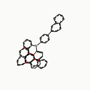 C1=CCC(c2cccc3cccc(C4CCCCC4)c23)C(N(c2ccc(-c3ccc4ccccc4c3)cc2)c2ccccc2-c2ccc3oc4ccccc4c3c2)=C1